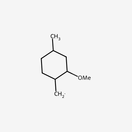 [CH2]C1CCC(C)CC1OC